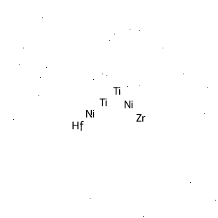 [Hf].[Ni].[Ni].[Ti].[Ti].[Zr]